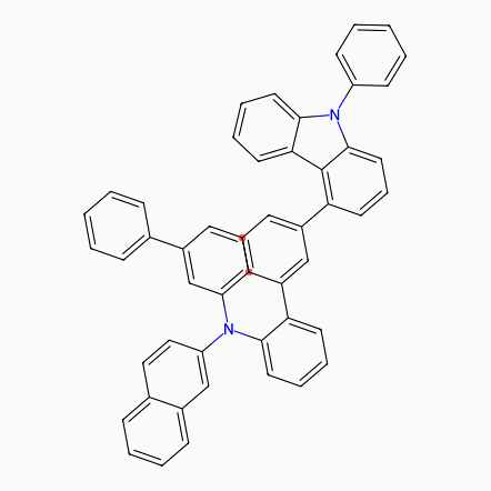 c1ccc(-c2cccc(N(c3ccc4ccccc4c3)c3ccccc3-c3cccc(-c4cccc5c4c4ccccc4n5-c4ccccc4)c3)c2)cc1